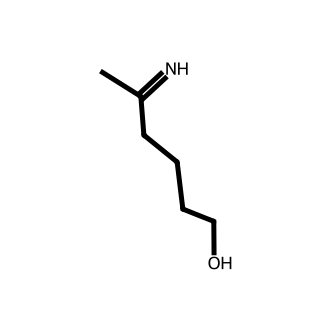 CC(=N)CCCCO